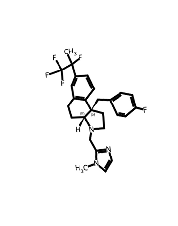 Cn1ccnc1CN1CC[C@@]2(Cc3ccc(F)cc3)c3ccc(C(C)(F)C(F)(F)F)cc3CC[C@@H]12